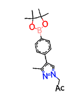 CC(=O)Cn1cc(-c2ccc(B3OC(C)(C)C(C)(C)O3)cc2)c(C)n1